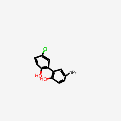 CCCc1c[c]c(O)c(-c2cc(Cl)ccc2O)c1